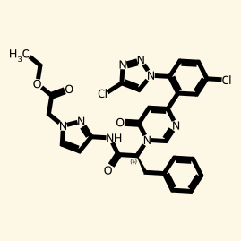 CCOC(=O)Cn1ccc(NC(=O)[C@H](Cc2ccccc2)n2cnc(-c3cc(Cl)ccc3-n3cc(Cl)nn3)cc2=O)n1